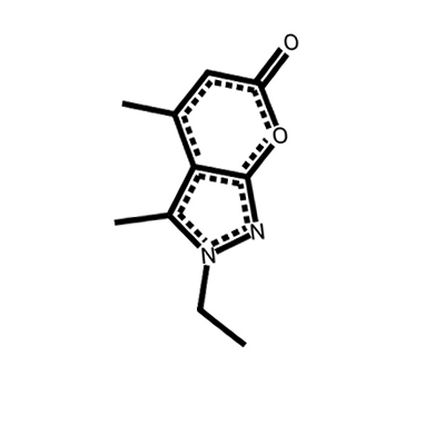 CCn1nc2oc(=O)cc(C)c2c1C